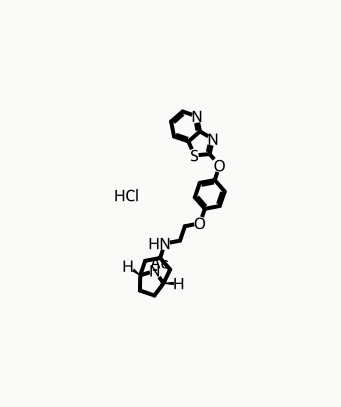 CC(=O)N1[C@@H]2CC[C@H]1CC(NCCOc1ccc(Oc3nc4ncccc4s3)cc1)C2.Cl